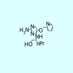 CCCC(CO)Nc1nc(N)ncc1OCc1ccccn1